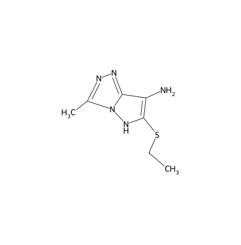 CCSc1[nH]n2c(C)nnc2c1N